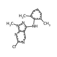 Cc1cccc(C)c1Nc1nn(C)c2nc(Cl)ncc12